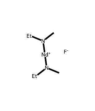 CC[N](C)[Nd+][N](C)CC.[F-]